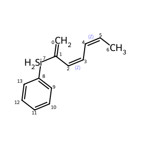 C=C(/C=C\C=C/C)[SiH2]c1ccccc1